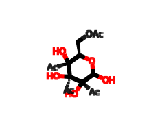 CC(=O)OC[C@H]1OC(O)[C@@](O)(C(C)=O)[C@](O)(C(C)=O)[C@@]1(O)C(C)=O